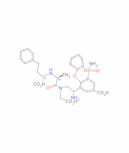 C[C@H](N[C@@H](CCc1ccccc1)C(=O)O)C(=O)N(CC(=O)O)CC(N)c1cc(C(=O)O)cc(S(N)(=O)=O)c1Oc1ccccc1